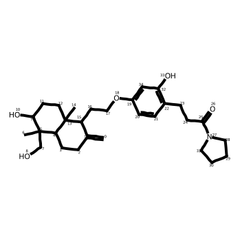 C=C1CCC2C(C)(CO)C(O)CCC2(C)C1CCOc1ccc(CCC(=O)N2CCCC2)c(O)c1